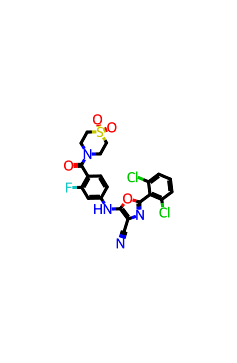 N#Cc1nc(-c2c(Cl)cccc2Cl)oc1Nc1ccc(C(=O)N2CCS(=O)(=O)CC2)c(F)c1